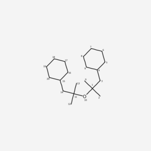 CC(C)(CC1CCCCC1)OC(C)(C)CC1CCCCC1